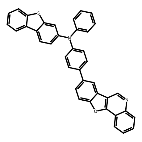 c1ccc(N(c2ccc(-c3ccc4oc5c6ccccc6ncc5c4c3)cc2)c2ccc3c(c2)sc2ccccc23)cc1